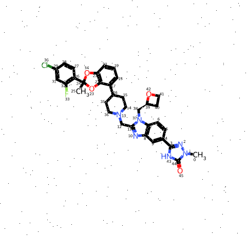 Cn1nc(-c2ccc3c(c2)nc(CN2CCC(c4cccc5c4OC(C)(c4ccc(Cl)cc4F)O5)CC2)n3C[C@@H]2CCO2)[nH]c1=O